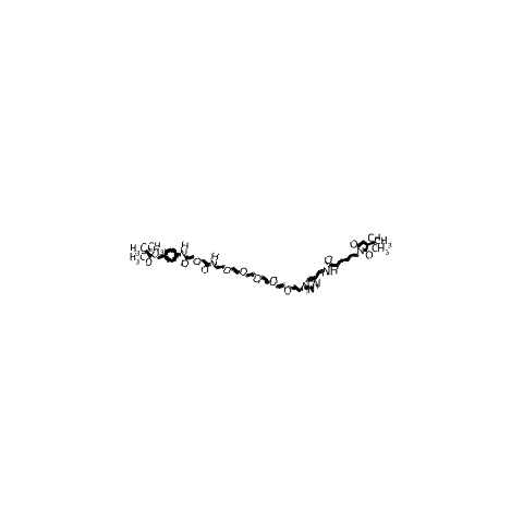 CC(C)(C)C(=O)OCc1ccc(NC(=O)COCC(=O)NCCOCCOCCOCCOCCOCCn2cc(CNC(=O)CCCCCN3C(=O)CC(C(C)(C)C)C3=O)nn2)cc1